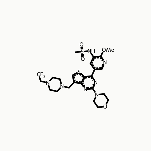 COc1ncc(-c2nc(N3CCOCC3)nc3c(CN4CCN(CC(F)(F)F)CC4)csc23)cc1NS(C)(=O)=O